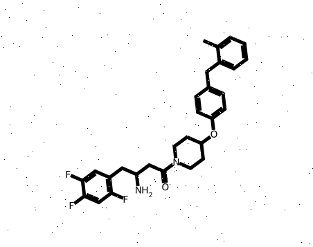 Cc1ccccc1Cc1ccc(OC2CCN(C(=O)CC(N)Cc3cc(F)c(F)cc3F)CC2)cc1